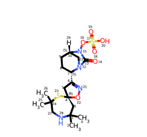 CC1(C)C[C@]2(CC([C@@H]3CC[C@H]4CN3C(=O)N4OS(=O)(=O)O)=NO2)SC(C)(C)CN1